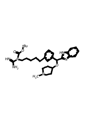 CN1CCC(OC(c2cccc(CCCCCN(C(=N)N)C(=O)OC(C)(C)C)c2)c2nc3ccccc3[nH]2)CC1